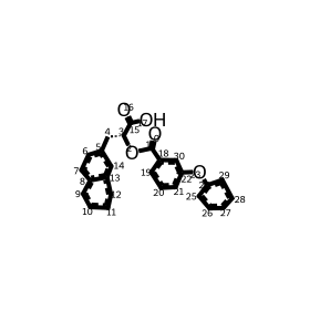 O=C(O[C@H](Cc1ccc2ccccc2c1)C(=O)O)c1cccc(Oc2ccccc2)c1